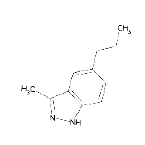 CCCc1ccc2[nH]nc(C)c2c1